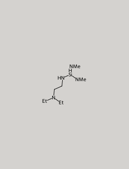 CCN(CC)CCN[SiH](NC)NC